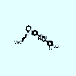 CCc1cc(-c2cn3nc(-c4ccc(N5CCCCC5OCCCCOC)cc4)sc3n2)ccc1C(=O)O